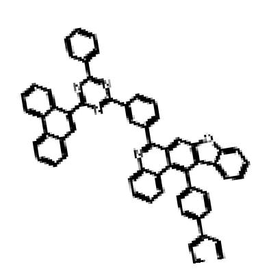 c1ccc(-c2ccc(-c3c4c(cc5c(-c6cccc(-c7nc(-c8ccccc8)nc(-c8cc9ccccc9c9ccccc89)n7)c6)nc6ccccc6c35)oc3ccccc34)cc2)cc1